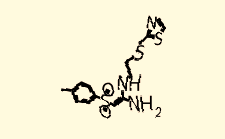 Cc1ccc(S(=O)(=O)C=C(N)NCCSCc2nccs2)cc1